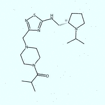 CC(C)C(=O)N1CCN(Cc2nsc(NC[C@@H]3CCCN3C(C)C)n2)CC1